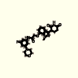 Cn1nc(C2CCC(=O)NC2=O)c2cccc(OCC(=O)Nc3cc(F)cc(N4CCOCC4)c3)c21